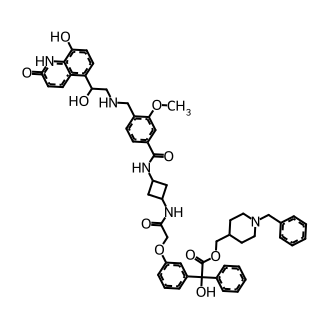 COc1cc(C(=O)NC2CC(NC(=O)COc3cccc(C(O)(C(=O)OCC4CCN(Cc5ccccc5)CC4)c4ccccc4)c3)C2)ccc1CNCC(O)c1ccc(O)c2[nH]c(=O)ccc12